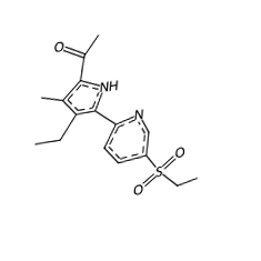 CCc1c(-c2ccc(S(=O)(=O)CC)cn2)[nH]c(C(C)=O)c1C